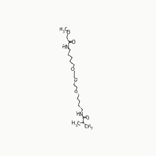 COCC(=O)NCCCCCOCCOCCOCCCCCNC(=O)C(C)C